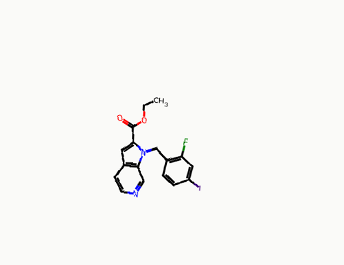 CCOC(=O)c1cc2ccncc2n1Cc1ccc(I)cc1F